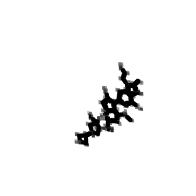 COc1nc(N[C@@H]2CN(C3COC3)CC2(F)F)nn2cc(F)c(-c3cc(F)c4nc(C)n(CCF)c4c3)c12